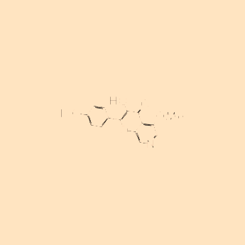 COc1cncc2oc(-c3ccc(C(F)(F)F)cc3)c(O)c(=O)c12